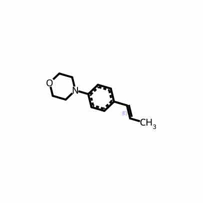 C/C=C/c1ccc(N2CCOCC2)cc1